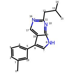 Cc1cccc(-c2c[nH]c3nc(CC(C)C)ncc23)c1